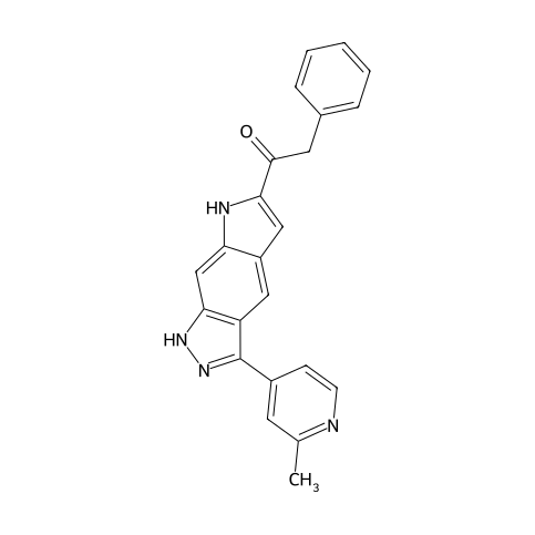 Cc1cc(-c2n[nH]c3cc4[nH]c(C(=O)Cc5ccccc5)cc4cc23)ccn1